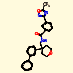 O=C(NCC1(c2cccc(-c3ccccc3)c2)CCOCC1)c1cccc(-c2noc(C(F)(F)F)n2)c1